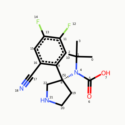 CC(C)(C)N(C(=O)O)[C@]1(c2cc(F)c(F)cc2C#N)CCNC1